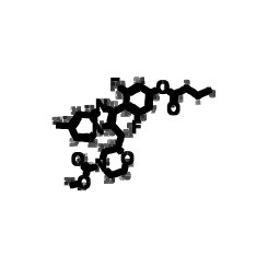 CCCC(=O)Oc1cc(F)c(-c2nc3cc(C)ccn3c2CC2CN(C(=O)OC)CCO2)c(F)c1